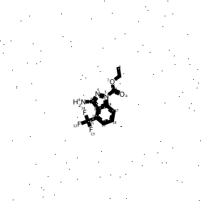 CCOC(=O)n1nc(N)c2c(C(F)(F)F)cccc21